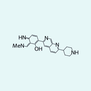 CN/C=C1\C(=N)C=CC(c2cc3ccc(C4CCNCC4)nc3cn2)=C1O